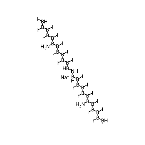 NB(B(I)B(I)B(I)B(I)BI)B(I)B(I)B(I)B(I)B(I)BNBB(I)B(I)B(I)B(I)B(I)B(N)B(I)B(I)B(I)B(I)BI.[Na+]